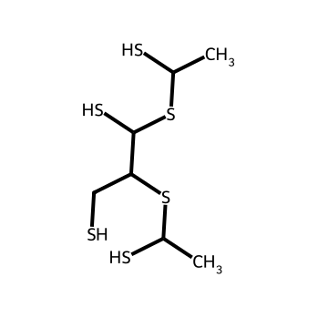 CC(S)SC(S)C(CS)SC(C)S